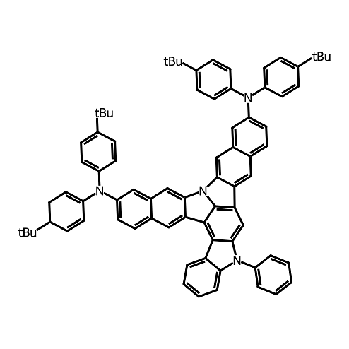 CC(C)(C)c1ccc(N(C2=CCC(C(C)(C)C)C=C2)c2ccc3cc4c5c6c7ccccc7n(-c7ccccc7)c6cc6c7cc8ccc(N(c9ccc(C(C)(C)C)cc9)c9ccc(C(C)(C)C)cc9)cc8cc7n(c4cc3c2)c65)cc1